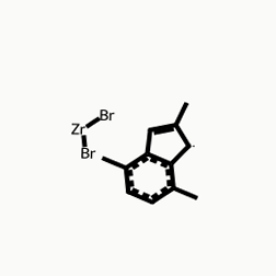 CC1=Cc2c(C)ccc(C)c2[CH]1.[Br][Zr][Br]